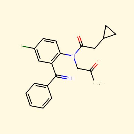 COC(=O)CN(C(=O)CC1CC1)c1ccc(Cl)cc1C(=N)c1ccccc1